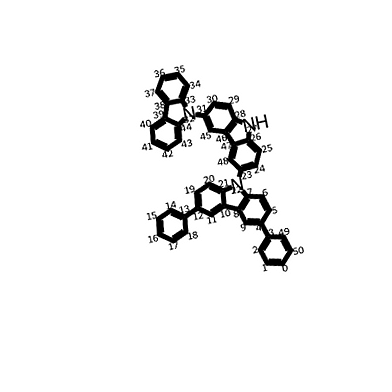 c1ccc(-c2ccc3c(c2)c2cc(-c4ccccc4)ccc2n3-c2ccc3[nH]c4ccc(-n5c6ccccc6c6ccccc65)cc4c3c2)cc1